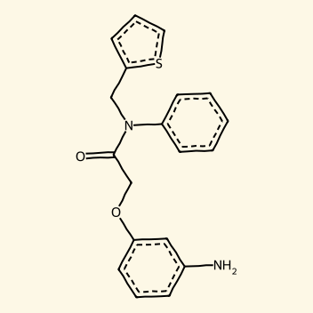 Nc1cccc(OCC(=O)N(Cc2cccs2)c2ccccc2)c1